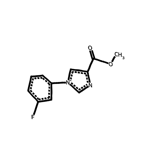 COC(=O)c1cn(-c2cccc(F)c2)cn1